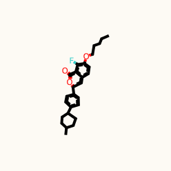 CCCCCOc1ccc2cc(-c3ccc(C4CCC(C)CC4)cc3)oc(=O)c2c1F